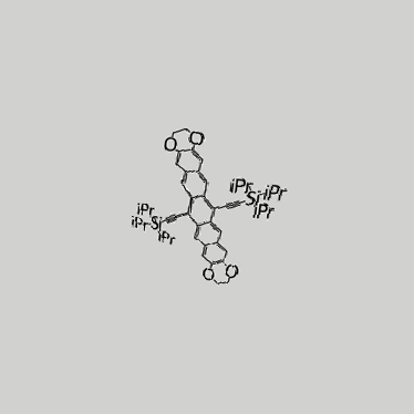 CC(C)[Si](C#Cc1c2cc3cc4c(cc3cc2c(C#C[Si](C(C)C)(C(C)C)C(C)C)c2cc3cc5c(cc3cc12)OCCO5)OCCO4)(C(C)C)C(C)C